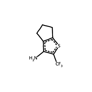 Nc1c(C(F)(F)F)sc2c1CCC2